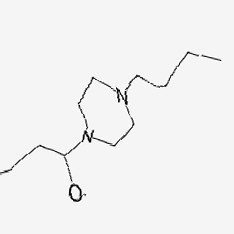 CCCCN1CCN(C([O])CCC)CC1